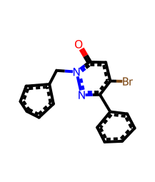 O=c1cc(Br)c(-c2ccccc2)nn1Cc1ccccc1